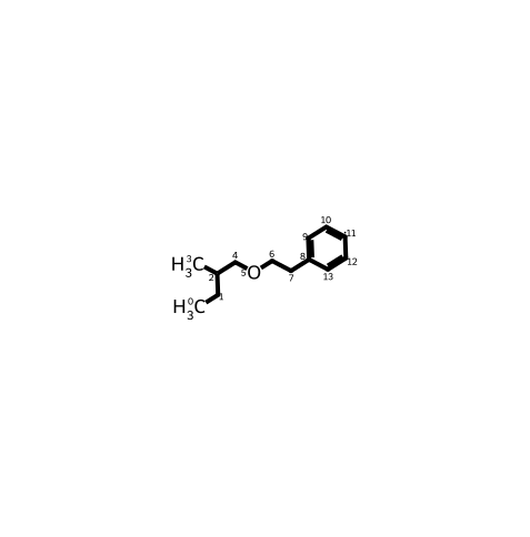 CCC(C)COCCc1cc[c]cc1